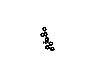 c1ccc(-c2ccccc2-c2ccccc2Nc2ccc(-c3ccc(-c4ccccc4)c4ccccc34)cc2)cc1